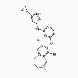 CCc1c(Oc2ncnc(Nc3cc(C4CC4)[nH]n3)c2C#N)ccc2c1C=C(C)CCC2